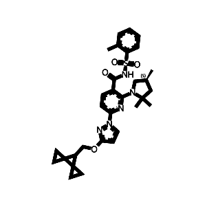 Cc1ccccc1S(=O)(=O)NC(=O)c1ccc(-n2ccc(OCC3C4(CC4)C34CC4)n2)nc1N1C[C@@H](C)CC1(C)C